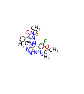 Cc1csc2nc([C@H](C)n3nc(-c4ccc(OC(C)C)c(F)c4)c4c(N)ncnc43)c(-c3ccccc3)c(=O)n12